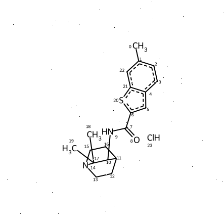 Cc1ccc2cc(C(=O)NC3C4CCN(CC4)C3(C)C)sc2c1.Cl